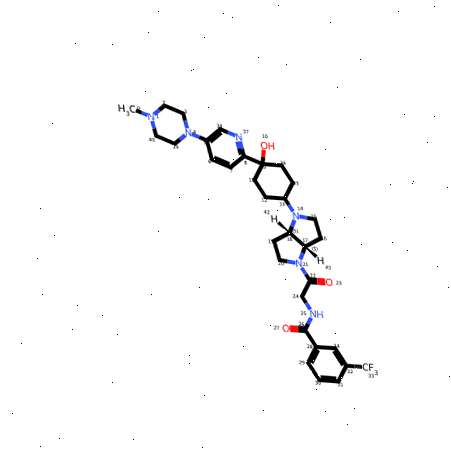 CN1CCN(c2ccc(C3(O)CCC(N4CC[C@H]5[C@@H]4CCN5C(=O)CNC(=O)c4cccc(C(F)(F)F)c4)CC3)nc2)CC1